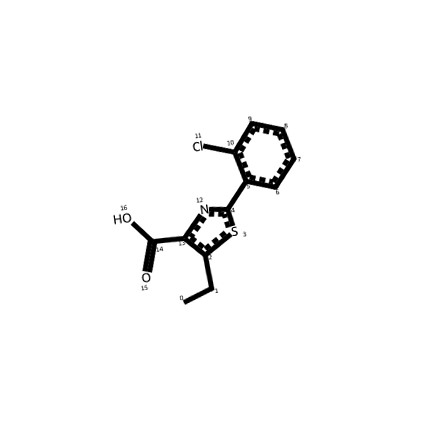 CCc1sc(-c2ccccc2Cl)nc1C(=O)O